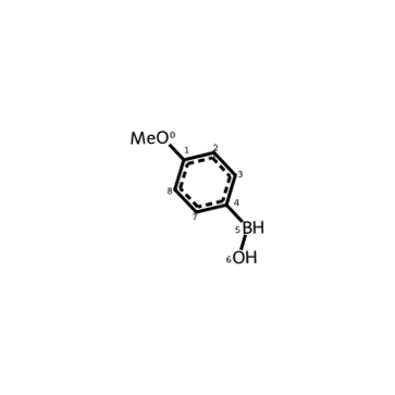 COc1[c]cc(BO)cc1